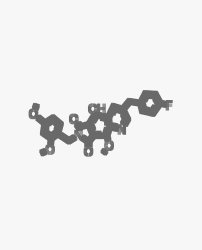 COc1ccc(CN2C(=O)c3c(c(OC)c4ncc(Cc5ccc(F)cc5)cc4c3O)C2=O)c(OC)c1